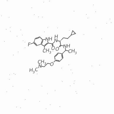 Cc1c(C(=O)N[C@@H](CCC2CC2)C(=O)NC(C)c2ccc(OCCN(C)C)cc2)[nH]c2ccc(F)cc12